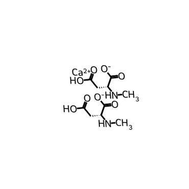 CN[C@H](CC(=O)O)C(=O)[O-].CN[C@H](CC(=O)O)C(=O)[O-].[Ca+2]